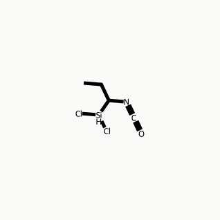 CCC(N=C=O)[SiH](Cl)Cl